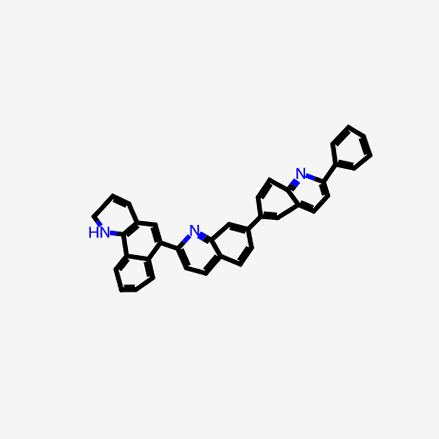 C1=Cc2cc(-c3ccc4ccc(-c5ccc6nc(-c7ccccc7)ccc6c5)cc4n3)c3ccccc3c2NC1